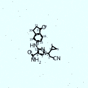 N#CCC(C1CC1)n1cc(C(N)=O)c(Nc2ccc3c(c2)CCC3=O)n1